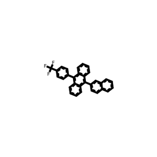 FC(F)(F)c1ccc(-c2c3ccccc3c(-c3ccc4ccccc4c3)c3ccccc23)cc1